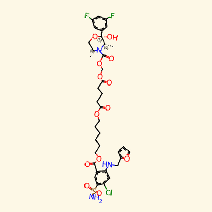 C[C@@H]1CO[C@@](O)(c2cc(F)cc(F)c2)[C@H](C)N1C(=O)OCOC(=O)CCCC(=O)OCCCCCCOC(=O)c1cc(S(N)(=O)=O)c(Cl)cc1NCc1ccco1